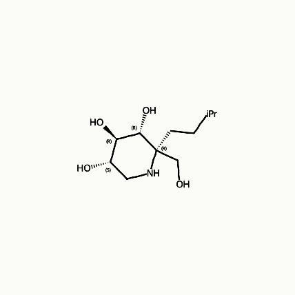 CC(C)CC[C@]1(CO)NC[C@H](O)[C@@H](O)[C@@H]1O